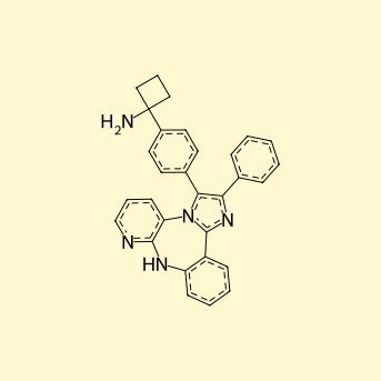 NC1(c2ccc(-c3c(-c4ccccc4)nc4n3-c3cccnc3Nc3ccccc3-4)cc2)CCC1